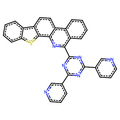 c1cncc(-c2nc(-c3cccnc3)nc(-c3nc4c(ccc5c6ccccc6sc54)c4ccccc34)n2)c1